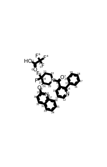 O=C(O)C(F)(F)F.O=C(c1cccnc1-c1ccccc1)N1CCC(F)(F)[C@@H](Oc2ccc3ccccc3n2)C1